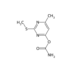 CSc1nc(C)cc(OC(N)=O)n1